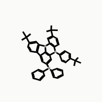 CC(C)(C)c1ccc(N2c3ccc(C(C)(C)C)cc3B3c4cc(C(C)(C)C)ccc4-c4cc(N(c5ccccc5)c5ccccc5)cc2c43)cc1